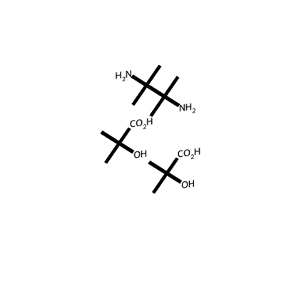 CC(C)(N)C(C)(C)N.CC(C)(O)C(=O)O.CC(C)(O)C(=O)O